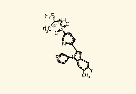 Cc1cc2c(cc1F)cc(-c1ccc(S(=O)(=O)N[C@@H](C)C(F)(F)F)cn1)n2-c1ccsc1